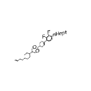 C=CCCC1CCC(C2COC(C3CC=C(c4ccc(CCCCCCC)c(F)c4F)CC3)OC2)CC1